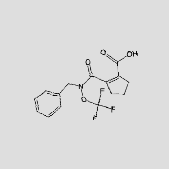 O=C(O)C1=C(C(=O)N(Cc2ccccc2)OC(F)(F)F)CCC1